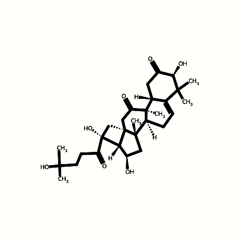 CC(C)(O)CCC(=O)[C@@]1(O)C[C@]23CC(=O)[C@@]4(C)[C@@H]5CC(=O)[C@@H](O)C(C)(C)C5=CC[C@H]4[C@]2(C)C[C@@H](O)[C@@H]31